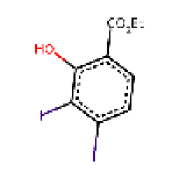 CCOC(=O)c1ccc(I)c(I)c1O